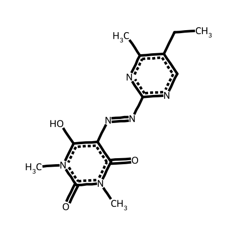 CCc1cnc(N=Nc2c(O)n(C)c(=O)n(C)c2=O)nc1C